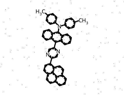 Cc1ccc(N(c2ccc(C)cc2)c2c3ccccc3c(-c3cnc(-c4ccc5ccc6cccc7ccc4c5c67)cn3)c3ccccc23)cc1